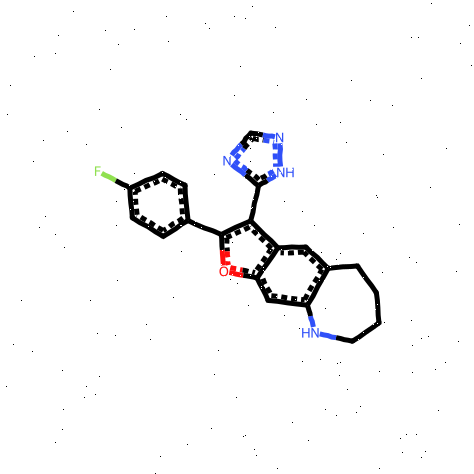 Fc1ccc(-c2oc3cc4c(cc3c2-c2ncn[nH]2)CCCCN4)cc1